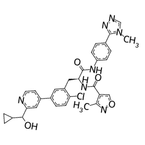 Cc1nocc1C(=O)N[C@@H](Cc1cc(-c2ccnc(C(O)C3CC3)c2)ccc1Cl)C(=O)Nc1ccc(-c2nncn2C)cc1